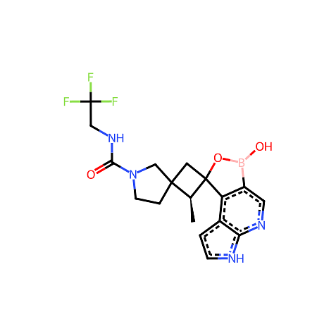 C[C@H]1C2(CCN(C(=O)NCC(F)(F)F)C2)CC12OB(O)c1cnc3[nH]ccc3c12